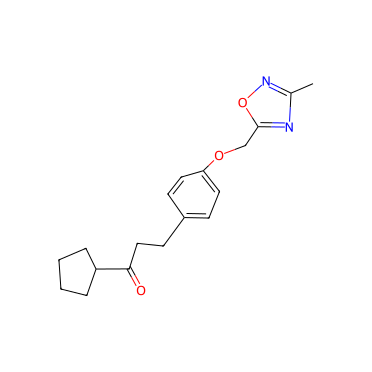 Cc1noc(COc2ccc(CCC(=O)C3CCCC3)cc2)n1